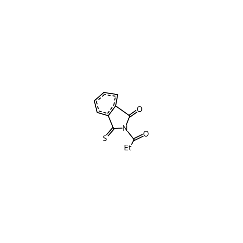 CCC(=O)N1C(=O)c2ccccc2C1=S